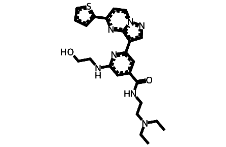 CCN(CC)CCNC(=O)c1cc(NCCO)nc(-c2cnn3ccc(-c4cccs4)nc23)c1